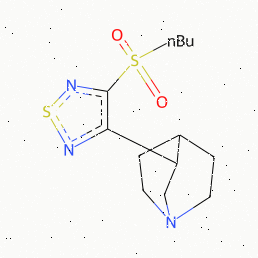 CCCCS(=O)(=O)c1nsnc1C1CN2CCC1CC2